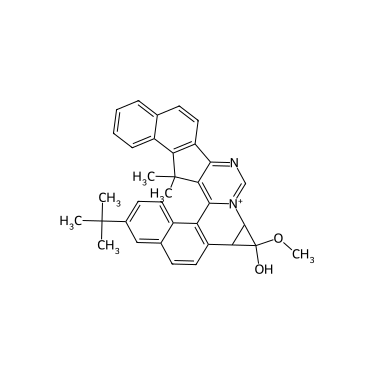 COC1(O)C2c3ccc4cc(C(C)(C)C)ccc4c3-c3c4c(nc[n+]3C21)-c1ccc2ccccc2c1C4(C)C